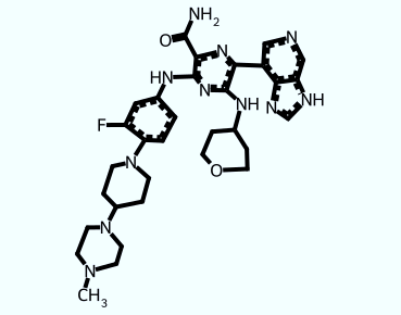 CN1CCN(C2CCN(c3ccc(Nc4nc(NC5CCOCC5)c(-c5cncc6[nH]cnc56)nc4C(N)=O)cc3F)CC2)CC1